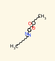 CCCCCCCCCc1cnc(-c2ccc(CC(=O)C3CCC(CCCCC)CC3=O)cc2)nc1